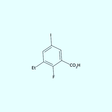 CCc1cc(I)cc(C(=O)O)c1F